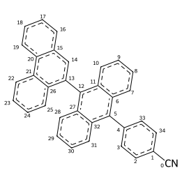 N#Cc1ccc(-c2c3ccccc3c(-c3cc4ccccc4c4ccccc34)c3ccccc23)cc1